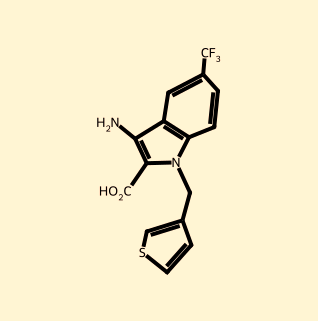 Nc1c(C(=O)O)n(Cc2ccsc2)c2ccc(C(F)(F)F)cc12